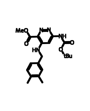 COC(=O)c1nnc(NC(=O)OC(C)(C)C)cc1NCc1ccc(C)c(C)c1